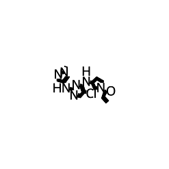 C=CC(=O)N1CCC(Nc2nc(Nc3cnn(C)c3)ncc2Cl)C1